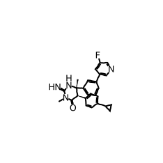 CN1C(=N)N[C@](C)(c2cccc(-c3cncc(F)c3)c2)[C@@H](c2ccc(C3CC3)cc2)C1=O